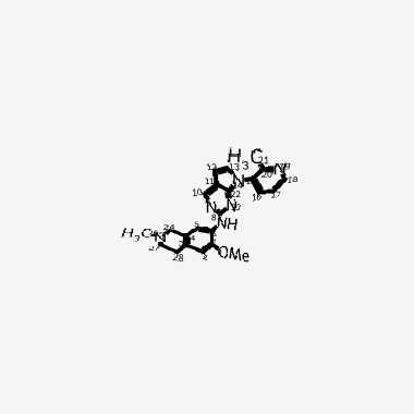 COc1cc2c(cc1Nc1ncc3ccn(-c4cccnc4C)c3n1)CN(C)CC2